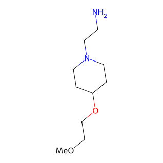 COCCOC1CCN(CCN)CC1